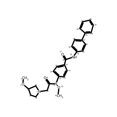 COC1CCN(CC(=O)N(OC)c2ccc(C(=O)Nc3ccc(-c4ccccc4)cc3)cc2)C1